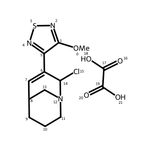 COc1nsnc1C1=CC2CCCN(C2)C1Cl.O=C(O)C(=O)O